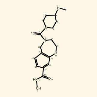 COC1CCN(C(=O)N2CCOc3cc(C(=O)NO)ccc3C2)CC1